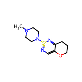 CN1CCN(S2=NC=C3OCCCC3=N2)CC1